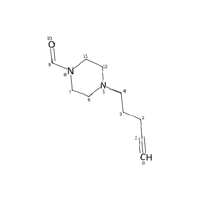 C#CCCCN1CCN(C=O)CC1